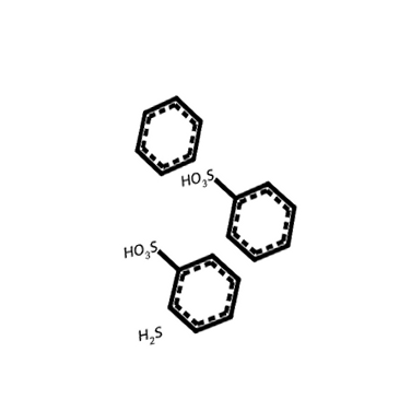 O=S(=O)(O)c1ccccc1.O=S(=O)(O)c1ccccc1.S.c1ccccc1